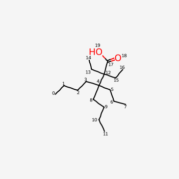 CCCCC(CCC)(CCCC)C(CC)(CC)C(=O)O